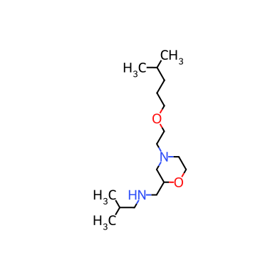 CC(C)CCCOCCN1CCOC(CNCC(C)C)C1